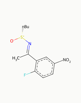 CCCC[S@@+]([O-])/N=C(\C)c1cc([N+](=O)[O-])ccc1F